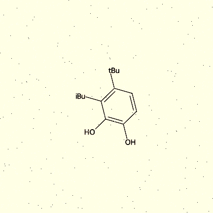 CCC(C)c1c(C(C)(C)C)ccc(O)c1O